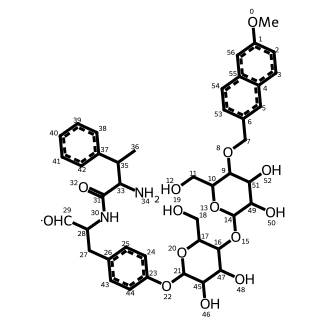 COc1ccc2cc(COC3C(CO)OC(OC4C(CO)OC(Oc5ccc(CC([C]=O)NC(=O)C(N)C(C)c6ccccc6)cc5)C(O)C4O)C(O)C3O)ccc2c1